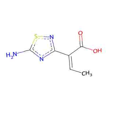 CC=C(C(=O)O)c1nsc(N)n1